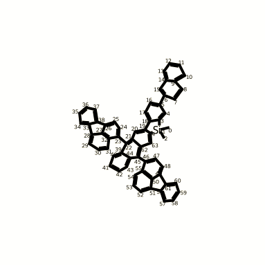 C[Si]1(C)c2cc(-c3ccc4ccccc4c3)ccc2-c2cc3c(-c4ccc5c6c(cccc46)-c4ccccc4-5)c4ccccc4c(-c4ccc5c6c(cccc46)-c4ccccc4-5)c3cc21